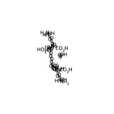 N=C(N)Nc1ccc(C(=O)Oc2ccc(COC(=O)N(CC(=O)N[C@@H](CC(=O)O)C(=O)NCCOCCOCCOCCOCCNC(=O)[C@H](CC(=O)O)NC(=O)CN(Cc3cccc(C(=O)O)c3)C(=O)OCc3ccc(OC(=O)c4ccc(NC(=N)N)cc4)cc3)Cc3cccc(C(=O)O)c3)cc2)cc1.O=C(O)C(F)(F)F